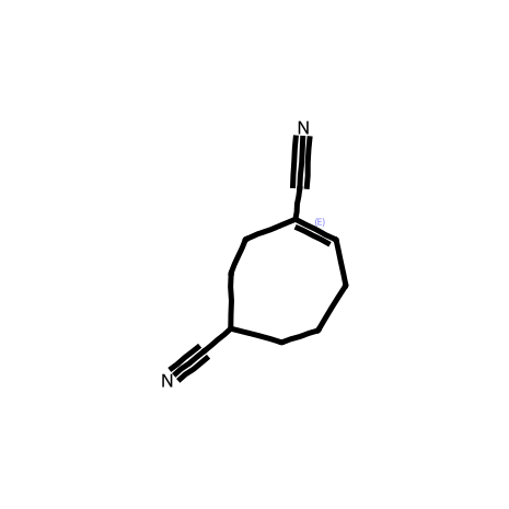 N#C/C1=C/CCCC(C#N)CC1